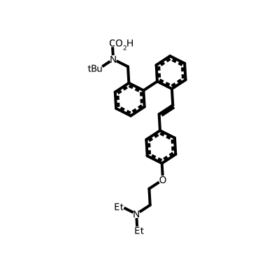 CCN(CC)CCOc1ccc(C=Cc2ccccc2-c2ccccc2CN(C(=O)O)C(C)(C)C)cc1